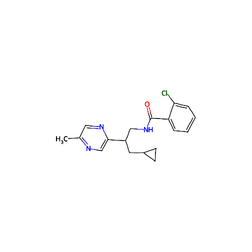 Cc1cnc(C(CNC(=O)c2ccccc2Cl)CC2CC2)cn1